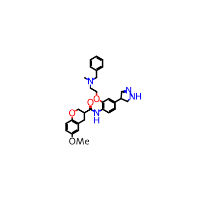 COc1ccc2c(c1)CC(C(=O)Nc1ccc(C3C=NNC3)cc1OCCN(C)Cc1ccccc1)CO2